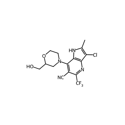 Cc1[nH]c2c(N3CCOC(CO)C3)c(C#N)c(C(F)(F)F)nc2c1Cl